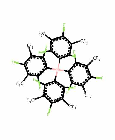 Fc1c([B-](c2c(F)c(C(F)(F)F)c(F)c(C(F)(F)F)c2F)(c2c(F)c(C(F)(F)F)c(F)c(C(F)(F)F)c2F)c2c(F)c(C(F)(F)F)c(F)c(C(F)(F)F)c2F)c(F)c(C(F)(F)F)c(F)c1C(F)(F)F